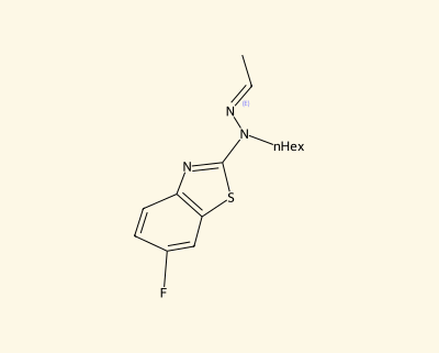 C/C=N/N(CCCCCC)c1nc2ccc(F)cc2s1